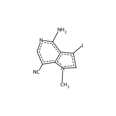 Cn1cc(I)c2c(N)ncc(C#N)c21